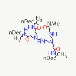 CCCCCCCCCCC(C)NC(=O)CCN(CCNCCC(=O)NC)CCNCCN(CCC(=O)NC(C)CCCCCCCCCC)CCC(=O)NC(C)CCCCCCCCCC